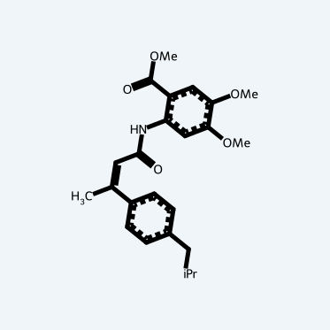 COC(=O)c1cc(OC)c(OC)cc1NC(=O)/C=C(/C)c1ccc(CC(C)C)cc1